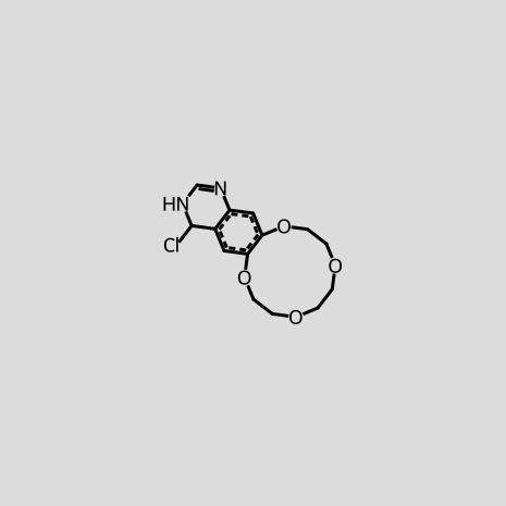 ClC1NC=Nc2cc3c(cc21)OCCOCCOCCO3